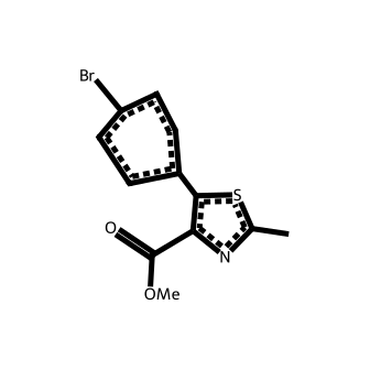 COC(=O)c1nc(C)sc1-c1ccc(Br)cc1